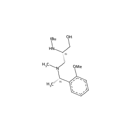 COc1ccccc1[C@H](C)N(C)C[C@@H](CO)NC(C)(C)C